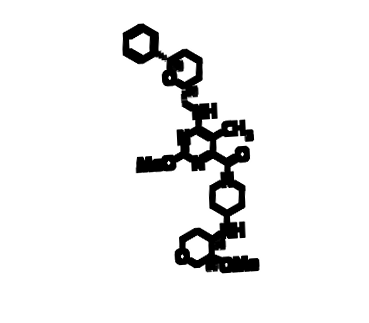 COc1nc(NC[C@H]2CCC[C@@H](c3ccccc3)O2)c(C)c(C(=O)N2CCC(N[C@@H]3CCOC[C@@H]3OC)CC2)n1